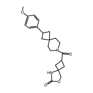 COc1ccc(C2CC3(CCN(C(=O)C4CC5(COC(=O)N5)C4)CC3)C2)cc1